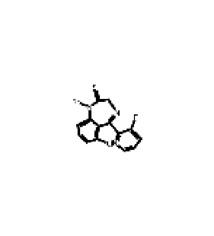 Fc1cccnc1C1=NCC(=S)N(Br)c2cccc(Cl)c21